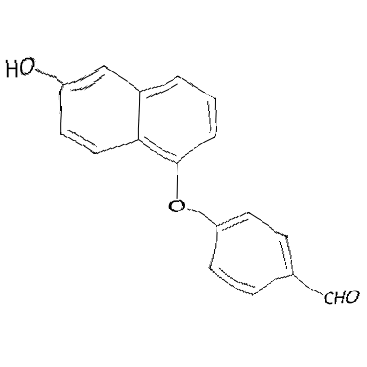 O=Cc1ccc(Oc2cccc3cc(O)ccc23)cc1